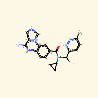 CC(c1ccc(C(F)(F)F)nn1)N(C(=O)c1ccc2nc(N)c3cncn3c2c1)C1CC1